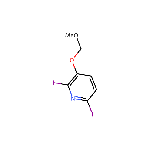 COCOc1ccc(I)nc1I